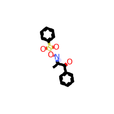 C/C(=N\OS(=O)(=O)c1ccccc1)C(=O)c1ccccc1